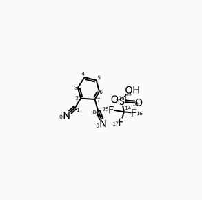 N#Cc1ccccc1C#N.O=S(=O)(O)C(F)(F)F